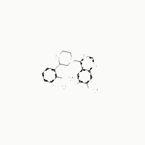 COc1cc2ncnc(N3CCNC(c4ccccc4OC)C3)c2cc1OC